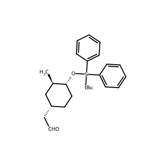 C[C@@H]1C[C@@H](CC=O)CC[C@H]1O[Si](c1ccccc1)(c1ccccc1)C(C)(C)C